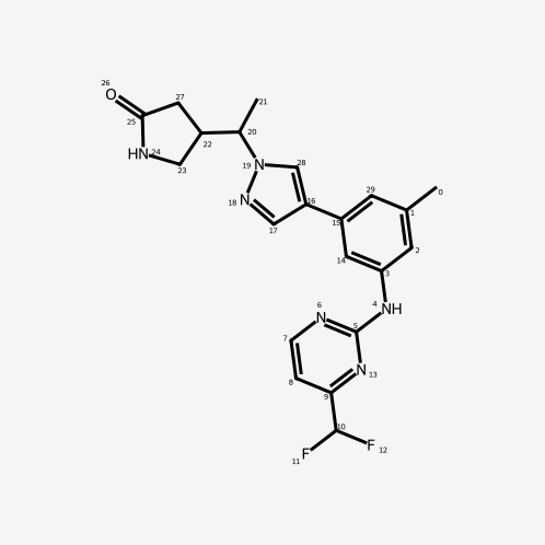 Cc1cc(Nc2nccc(C(F)F)n2)cc(-c2cnn(C(C)C3CNC(=O)C3)c2)c1